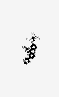 CC(C)(C)COc1ccc2c(c1)C1(COC(N)=N1)c1cc(-c3cncnc3)ccc1O2